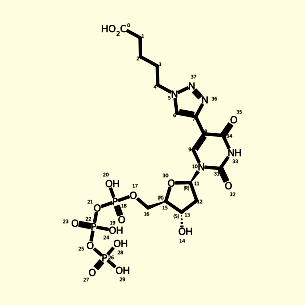 O=C(O)CCCCn1cc(-c2cn([C@H]3C[C@H](O)[C@@H](COP(=O)(O)OP(=O)(O)OP(=O)(O)O)O3)c(=O)[nH]c2=O)nn1